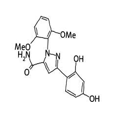 COc1cccc(OC)c1-n1nc(-c2ccc(O)cc2O)cc1C(N)=O